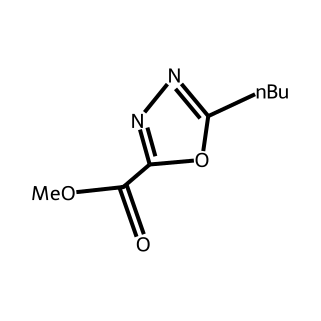 CCCCc1nnc(C(=O)OC)o1